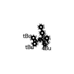 CC(C)(C)c1ccc2c(c1)c1cc(C(C)(C)C)ccc1n2-c1cc2n(c1)B1c3c(cccc3N2c2ccc(-c3ccccc3)cc2)Sc2cc(C(C)(C)C)cn21